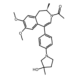 COc1cc2c(cc1OC)C(c1ccc(N3CCC(C)(O)C3)cc1)=CN(C(C)=O)[C@H](C)C2